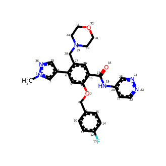 Cn1cc(-c2cc(OCc3ccc(F)cc3)c(C(=O)Nc3ccnnc3)cc2CN2CCOCC2)cn1